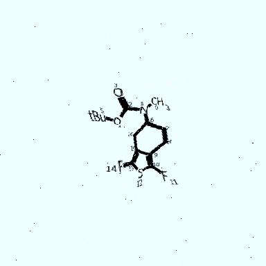 CN(C(=O)OC(C)(C)C)C1CCc2c(F)sc(F)c2C1